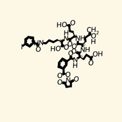 C=C(O)CC[C@@H](NC(=O)[C@@H](CCC(=O)O)NC(=O)c1cccc(C(=O)ON2C(=O)CCC2=O)c1)C(=O)N[C@H](CCC(=O)O)C(=O)N[C@H](CCCCNC(=O)c1cccc(I)c1)C(=O)O